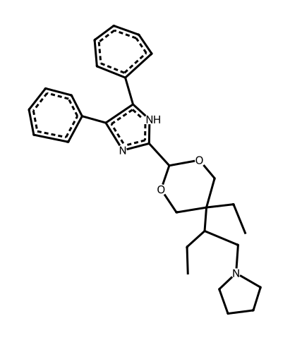 CCC(CN1CCCC1)C1(CC)COC(c2nc(-c3ccccc3)c(-c3ccccc3)[nH]2)OC1